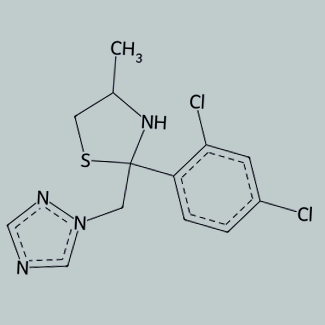 CC1CSC(Cn2cncn2)(c2ccc(Cl)cc2Cl)N1